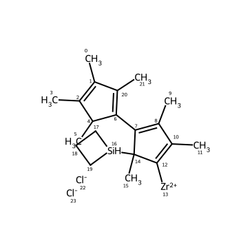 CC1=C(C)C(C)C(C2=C(C)C(C)=[C]([Zr+2])C2(C)[SiH]2CCC2)=C1C.[Cl-].[Cl-]